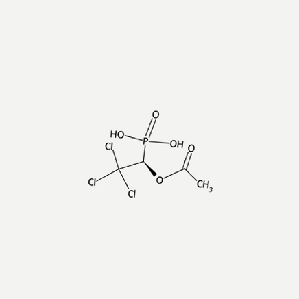 CC(=O)O[C@@H](C(Cl)(Cl)Cl)P(=O)(O)O